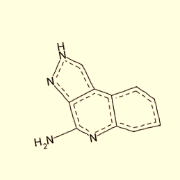 Nc1nc2ccccc2c2c[nH]nc12